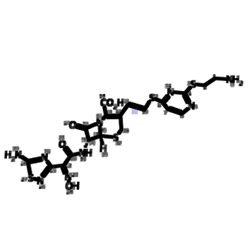 NCCSc1nccc(S/C=C/C2=C(C(=O)O)N3C(=O)[C@@H](NC(=O)C(=NO)c4nsc(N)n4)[C@H]3SC2)n1